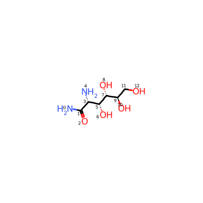 NC(=O)[C@H](N)[C@@H](O)[C@H](O)[C@H](O)CO